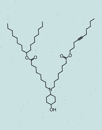 CCCCCC#CCCCOC(=O)CCCCCCCN(CCCCCCCC(=O)OC(CCCCCCCC)CCCCCCCC)C1CCC(O)CC1